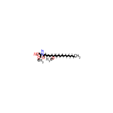 CCCCCCCCCCCCCC(CC=CCCC(=O)NC(CO)COC)OC